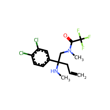 C=CCC(CN(C)C(=O)C(F)(F)F)(NC)c1ccc(Cl)c(Cl)c1